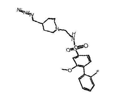 COc1cc(S(=O)(=O)NCCN2CCC(CN=[N+]=[N-])CC2)ccc1-c1ccccc1F